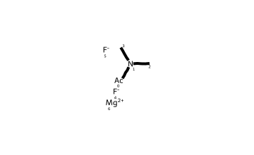 CC(=O)N(C)C.[F-].[F-].[Mg+2]